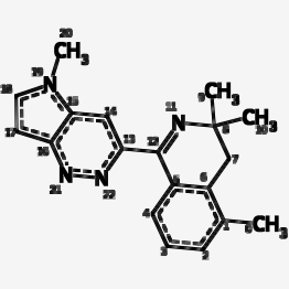 Cc1cccc2c1CC(C)(C)N=C2c1cc2c(ccn2C)nn1